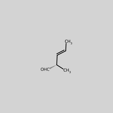 C/C=C/[C@H](C)C=O